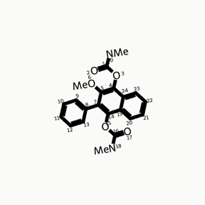 CNC(=O)Oc1c(OC)c(-c2ccccc2)c(OC(=O)NC)c2ccccc12